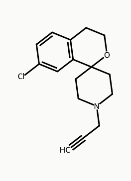 C#CCN1CCC2(CC1)OCCc1ccc(Cl)cc12